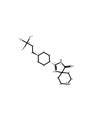 O=C1NC([C@H]2CC[C@H](CCC(F)(F)F)CC2)=NC12CCNCC2